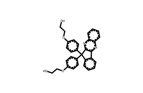 OCCOc1ccc(C2(c3ccc(OCCO)cc3)c3ccccc3-c3nc4ccccc4nc32)cc1